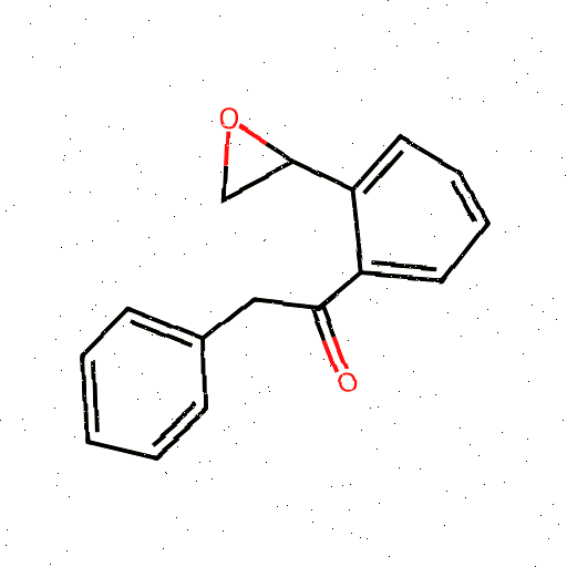 O=C(Cc1ccccc1)c1ccccc1C1CO1